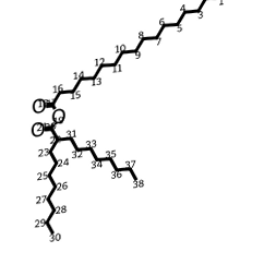 CCCCCCCCCCCCCCCCCC(=O)OC(=O)C(CCCCCCCC)CCCCCCCC